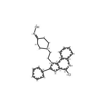 ON=C1CCN(CCn2c(-c3ccccc3)nc3c(Cl)nc4ccccc4c32)CC1